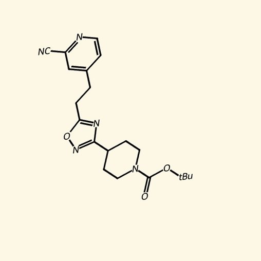 CC(C)(C)OC(=O)N1CCC(c2noc(CCc3ccnc(C#N)c3)n2)CC1